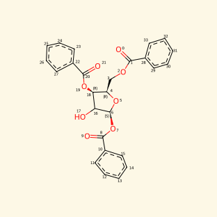 O=C(OC[C@H]1O[C@@H](OC(=O)c2ccccc2)C(O)[C@H]1OC(=O)c1ccccc1)c1ccccc1